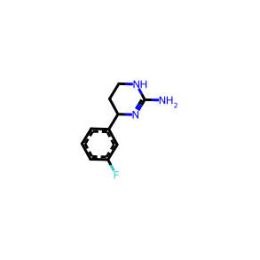 NC1=NC(c2cccc(F)c2)CCN1